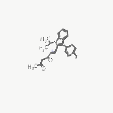 CC(=O)CC(=O)/C=C/c1c(-c2ccc(F)cc2)c2ccccc2n1C(C)C